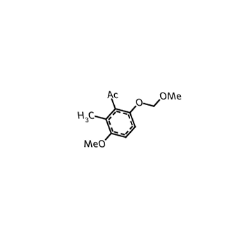 COCOc1ccc(OC)c(C)c1C(C)=O